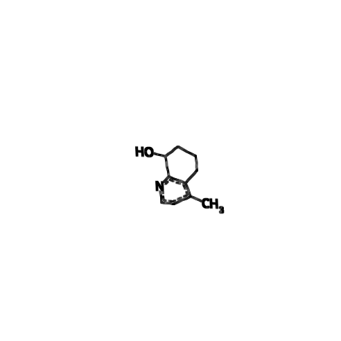 Cc1ccnc2c1CCCC2O